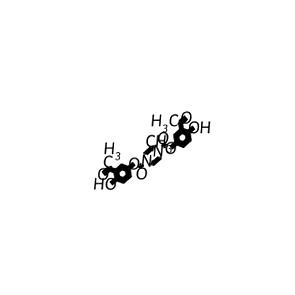 CC(=O)c1cc(OC(=O)N2CCN(C(=O)Oc3ccc(O)c(C(C)=O)c3)C(C)C2)ccc1O